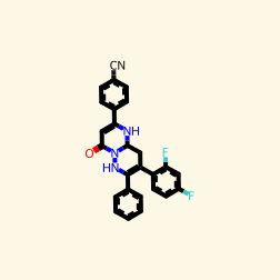 N#Cc1ccc(C2=CC(=O)N3NC(c4ccccc4)=C(c4ccc(F)cc4F)CC3N2)cc1